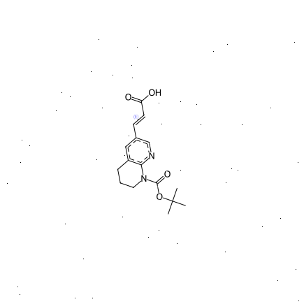 CC(C)(C)OC(=O)N1CCCc2cc(/C=C/C(=O)O)cnc21